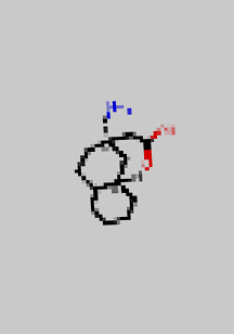 NC[C@@]1(CC(=O)O)CCC2CCCC[C@H]2C1